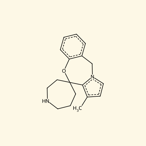 Cc1ccn2c1C1(CCCNCC1)Oc1ccccc1C2